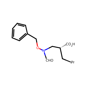 CC(C)C[C@H](CN(C=O)OCc1ccccc1)C(=O)O